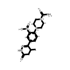 CC1CC(=O)NN=C1c1ccc(N2CCN(C(N)=S)CC2)c([N+](=O)[O-])c1